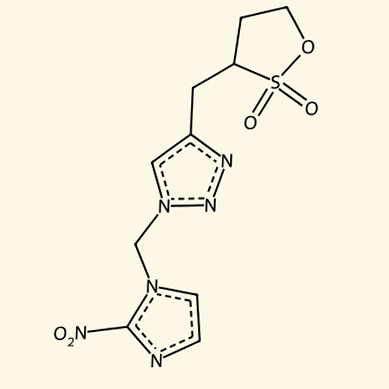 O=[N+]([O-])c1nccn1Cn1cc(CC2CCOS2(=O)=O)nn1